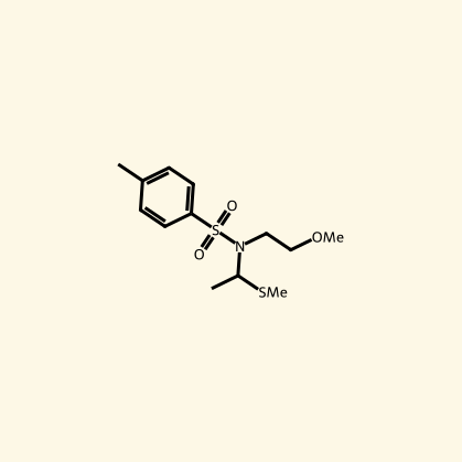 COCCN(C(C)SC)S(=O)(=O)c1ccc(C)cc1